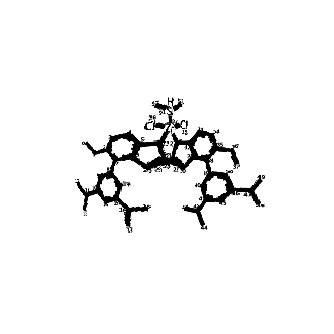 CCc1ccc2c(c1-c1cc(C(C)C)cc(C(C)C)c1)C=C(C)[CH]2[Zr]([Cl])([Cl])([CH]1C(C)=Cc2c1ccc(CC)c2-c1cc(C(C)C)cc(C(C)C)c1)[SiH](C)C